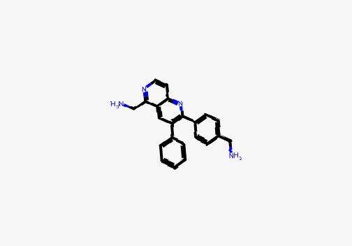 NCc1ccc(-c2nc3ccnc(CN)c3cc2-c2ccccc2)cc1